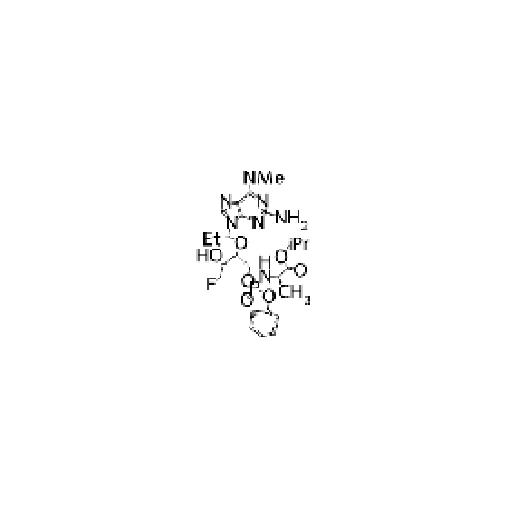 CC[C@@H](O[C@H](CO[P@@](=O)(N[C@H](C)C(=O)OC(C)C)Oc1ccccc1)[C@@H](O)CF)n1cnc2c(NC)nc(N)nc21